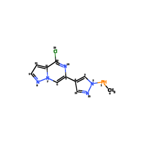 CPn1cc(-c2cn3nccc3c(Cl)n2)cn1